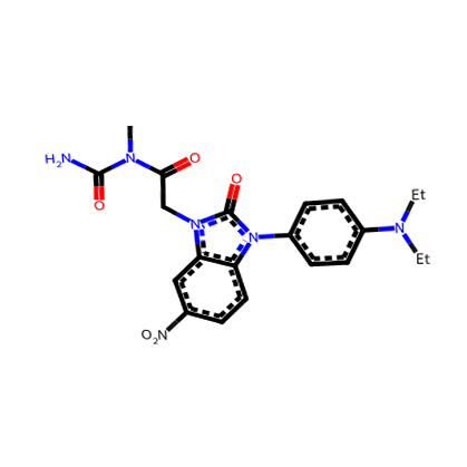 CCN(CC)c1ccc(-n2c(=O)n(CC(=O)N(C)C(N)=O)c3cc([N+](=O)[O-])ccc32)cc1